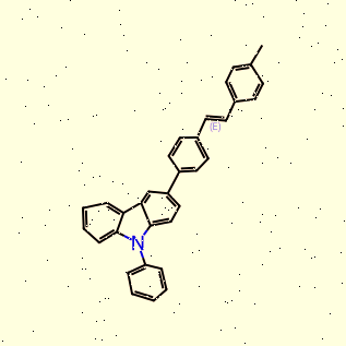 Cc1ccc(/C=C/c2ccc(-c3ccc4c(c3)c3ccccc3n4-c3ccccc3)cc2)cc1